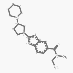 CCN(C)C(=O)c1ccc2nc(N3CC[C@@H](N4CCCCC4)C3)sc2c1